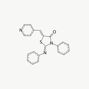 O=C1C(=Cc2ccncc2)SC(=Nc2ccccc2)N1c1ccccc1